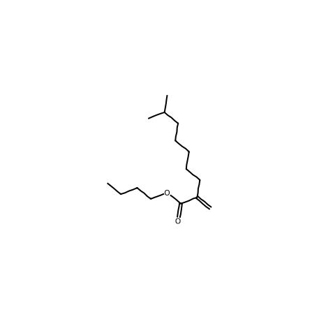 C=C(CCCCCC(C)C)C(=O)OCCCC